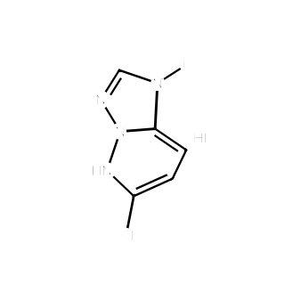 CN1C=NN2NC(Cl)=CC=C12.I